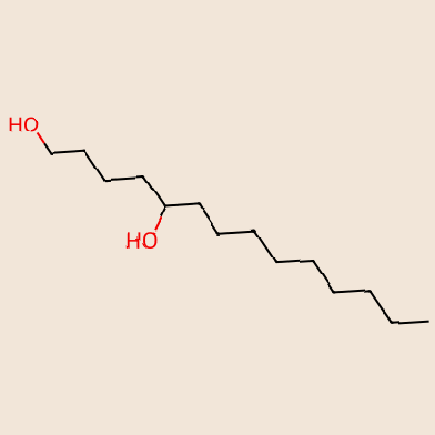 CCCCCCCCCC(O)CCCCO